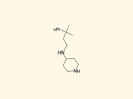 CCCC(C)(C)CCNC1CCNCC1